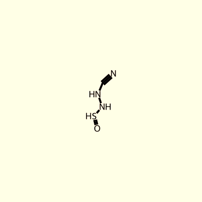 N#CNN[SH]=O